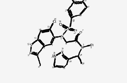 CCN(C(=O)CN(c1cc2c(C)nsc2cc1Cl)S(=O)(=O)c1ccc(OC)c(OC)c1)C(C)c1cc[nH]n1